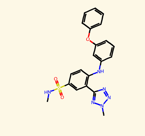 CNS(=O)(=O)c1ccc(Nc2cccc(Oc3ccccc3)c2)c(-c2nnn(C)n2)c1